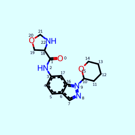 O=C(Nc1ccc2cnn(C3CCCCO3)c2c1)C1COCN1